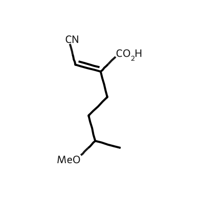 COC(C)CCC(=CC#N)C(=O)O